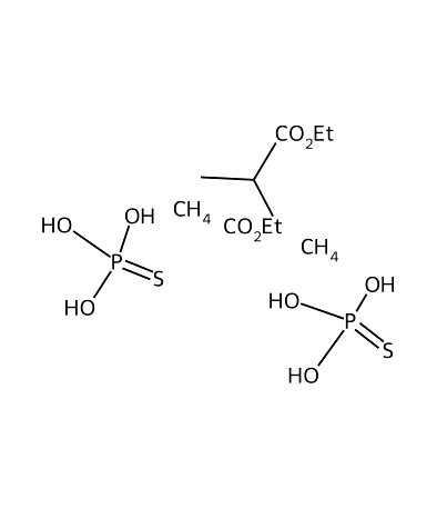 C.C.CCOC(=O)C(C)C(=O)OCC.OP(O)(O)=S.OP(O)(O)=S